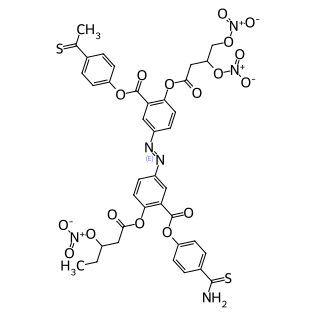 CCC(CC(=O)Oc1ccc(/N=N/c2ccc(OC(=O)CC(CO[N+](=O)[O-])O[N+](=O)[O-])c(C(=O)Oc3ccc(C(C)=S)cc3)c2)cc1C(=O)Oc1ccc(C(N)=S)cc1)O[N+](=O)[O-]